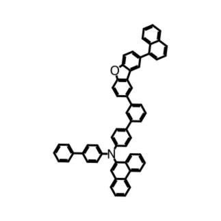 c1ccc(-c2ccc(N(c3ccc(-c4cccc(-c5ccc6oc7ccc(-c8cccc9ccccc89)cc7c6c5)c4)cc3)c3cc4ccccc4c4ccccc34)cc2)cc1